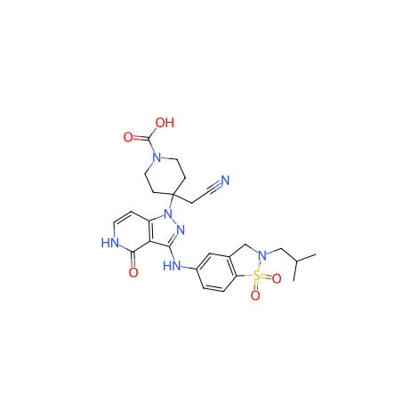 CC(C)CN1Cc2cc(Nc3nn(C4(CC#N)CCN(C(=O)O)CC4)c4cc[nH]c(=O)c34)ccc2S1(=O)=O